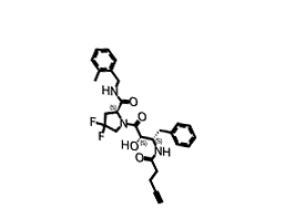 C#CCCC(=O)N[C@@H](Cc1ccccc1)[C@H](O)C(=O)N1CC(F)(F)C[C@H]1C(=O)NCc1ccccc1C